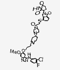 COc1cc2ncnc(Nc3ccc(F)c(Cl)c3)c2cc1OCCCN1CCC(N2CCN(C(=O)CSc3cccc4c3CN(C3CCC(=O)NC3=O)C4=O)CC2)CC1